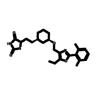 CCc1oc(-c2c(C)cccc2C)nc1CO[C@@H]1CCC[C@H](CCC2SC(=O)NC2=O)C1